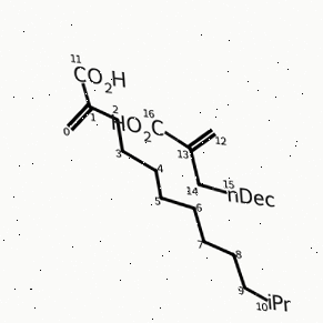 C=C(CCCCCCCCC(C)C)C(=O)O.C=C(CCCCCCCCCCC)C(=O)O